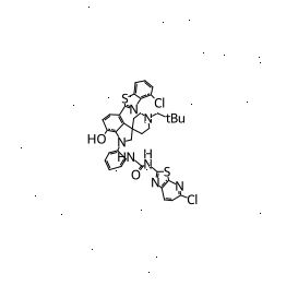 CC(C)(C)CN1CCC2(CC1)CN(c1ccccc1NC(=O)Nc1nc3ccc(Cl)nc3s1)c1c(O)ccc(-c3nc4c(Cl)cccc4s3)c12